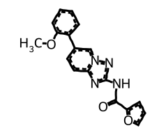 COc1ccccc1-c1ccc2nc(NC(=O)c3ccco3)nn2c1